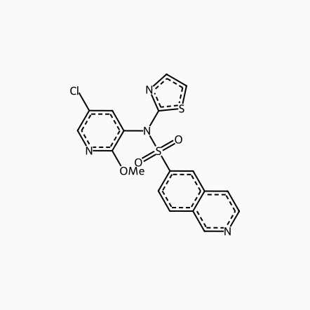 COc1ncc(Cl)cc1N(c1nccs1)S(=O)(=O)c1ccc2cnccc2c1